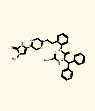 COC(=O)N[C@H](C(=O)Nc1ccccc1CC[C@@H]1CN[C@H](c2cn(C)c(=O)[nH]2)CO1)C(c1ccccc1)c1ccccc1